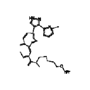 C=C1\C=C/C(c2c[nH]nc2-c2cccc(C)n2)=C/C=C/C1=C/C(=C\C)C(=C)C(C)CCCCCOCCC